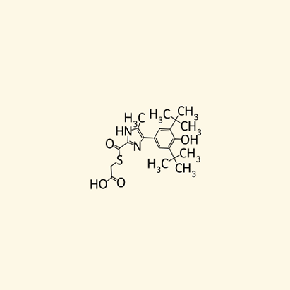 Cc1[nH]c(C(=O)SCC(=O)O)nc1-c1cc(C(C)(C)C)c(O)c(C(C)(C)C)c1